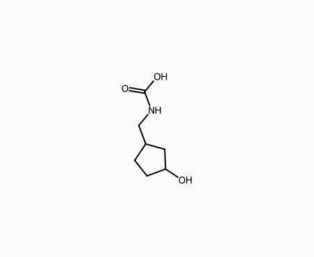 O=C(O)NCC1CCC(O)C1